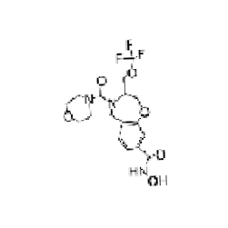 O=C(NO)c1ccc2c(c1)OC[C@H](COC(F)(F)F)N(C(=O)N1CCOCC1)C2